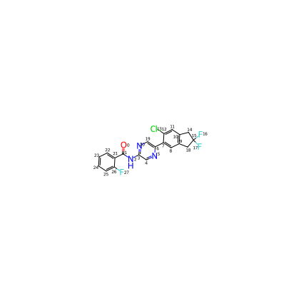 O=C(Nc1cnc(-c2cc3c(cc2Cl)CC(F)(F)C3)cn1)c1ccccc1F